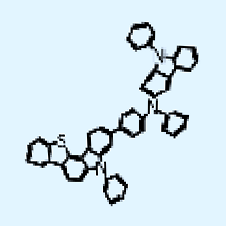 c1ccc(N(c2ccc(-c3ccc4c5c6sc7ccccc7c6ccc5n(-c5ccccc5)c4c3)cc2)c2ccc3c(c2)c2ccccc2n3-c2ccccc2)cc1